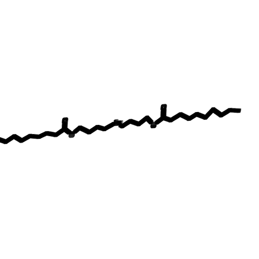 CCCCCCCCCC(=O)OCCC[CH2][Sn][CH2]CCCOC(=O)CCCCCCCCC